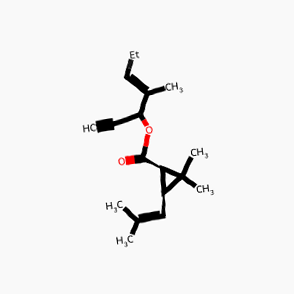 C#CC(OC(=O)[C@@H]1[C@H](C=C(C)C)C1(C)C)/C(C)=C/CC